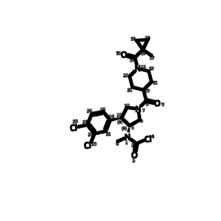 CN(C(=O)Cl)[C@H]1CN(C(=O)C2CCN(C(=O)C3(C)CC3)CC2)C[C@@H]1c1ccc(Cl)c(Cl)c1